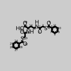 O=C(CSC(=O)c1ccccc1)NCCC(NC(=O)CSC(=O)c1ccccc1)C(=O)O